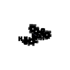 Cc1ccc(C(N)=O)cc1N/N=C1\C(=O)C(C(=O)Nc2ccccc2)=Cc2ccccc21